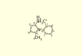 Cc1cc[c]cc1-n1c(C)ccc1C